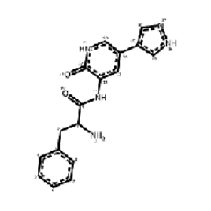 NC(Cc1ccccc1)C(=O)Nc1cc(-c2cn[nH]c2)c[nH]c1=O